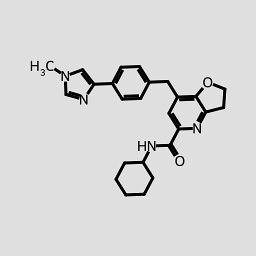 Cn1cnc(-c2ccc(Cc3cc(C(=O)NC4CCCCC4)nc4c3OCC4)cc2)c1